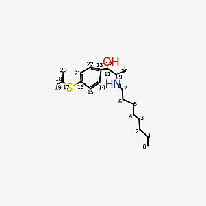 CCCCCCCCN[C@H](C)[C@@H](O)c1ccc(SC(C)C)cc1